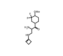 COC1CCN(C(=O)C(N)CNC2=CCC2)CC1(F)F